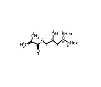 C=C(C)C(=O)OCC(O)CN(CCCCCC)CCCCCC